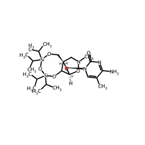 Cc1cn([C@@H]2O[C@]34CO[Si](C(C)C)(C(C)C)O[Si](C(C)C)(C(C)C)OC3[C@@H]2ON(C)C4)c(=O)nc1N